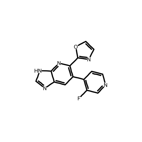 Fc1cnccc1-c1cc2nc[nH]c2nc1-c1ncco1